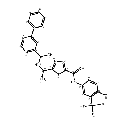 C[C@@H](NC(O)c1cc(-c2ccncc2)ncn1)c1ncc(C(=O)Nc2cc(C(F)(F)F)c(Cl)cn2)s1